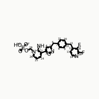 Nc1c(-c2cc(Cc3ccc(Cc4ccnc(F)c4F)cc3)no2)ccc[n+]1COP(=O)([O-])O